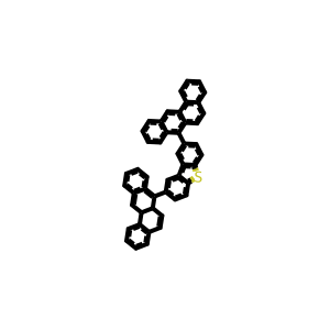 C1=CC2C(c3ccc4sc5ccc(-c6c7ccccc7cc7c6ccc6ccccc67)cc5c4c3)=c3ccccc3=CC2c2ccccc21